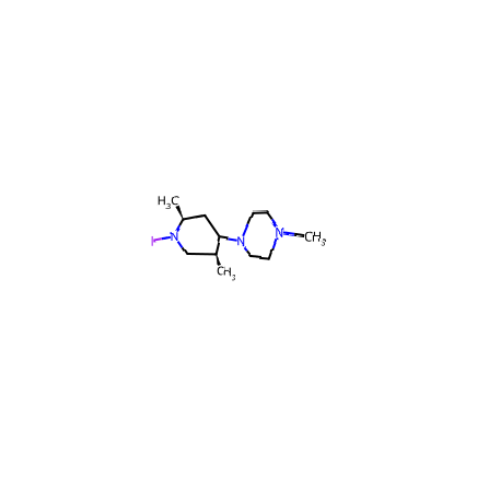 C[C@H]1CN(I)[C@@H](C)CC1N1CCN(C)CC1